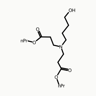 CCCOC(=O)CCN(CCCCO)CCC(=O)OCCC